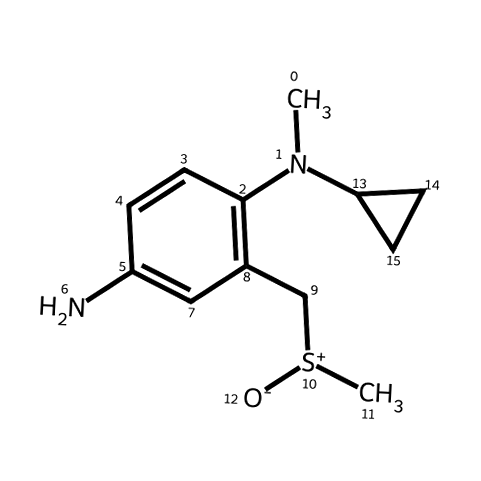 CN(c1ccc(N)cc1C[S+](C)[O-])C1CC1